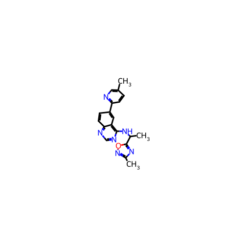 Cc1ccc(-c2ccc3ncnc(NC(C)c4nc(C)no4)c3c2)nc1